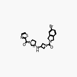 O=C(c1nccs1)N1CC[C@H](NC2CN(C(=O)N3Cc4ccc(Br)cc4C3)C2)C1